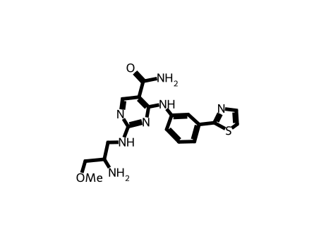 COCC(N)CNc1ncc(C(N)=O)c(Nc2cccc(-c3nccs3)c2)n1